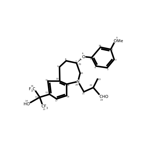 COc1cccc(O[C@H]2CCc3cc(C(O)(C(F)(F)F)C(F)(F)F)ccc3N(CC(C)C=O)C2)c1